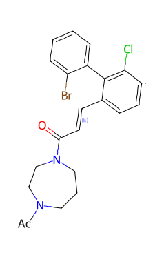 CC(=O)N1CCCN(C(=O)/C=C/c2cc[c]c(Cl)c2-c2ccccc2Br)CC1